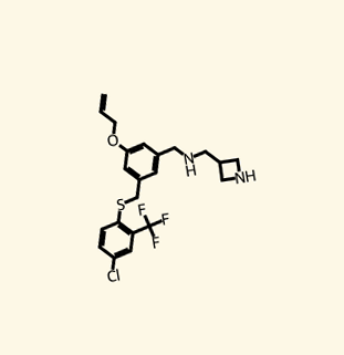 C=CCOc1cc(CNCC2CNC2)cc(CSc2ccc(Cl)cc2C(F)(F)F)c1